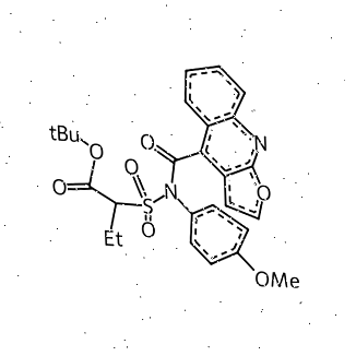 CCC(C(=O)OC(C)(C)C)S(=O)(=O)N(C(=O)c1c2ccccc2nc2occc12)c1ccc(OC)cc1